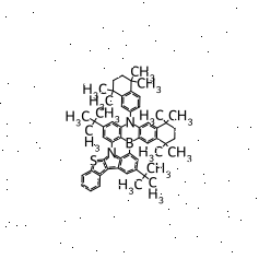 CC(C)(C)c1cc2c3c(c1)-n1c4sc5ccccc5c4c4cc(C(C)(C)C)cc(c41)B3c1cc3c(cc1N2c1ccc2c(c1)C(C)(C)CCC2(C)C)C(C)(C)CCC3(C)C